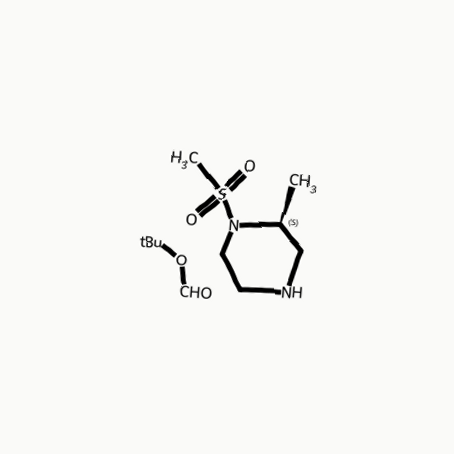 CC(C)(C)OC=O.C[C@H]1CNCCN1S(C)(=O)=O